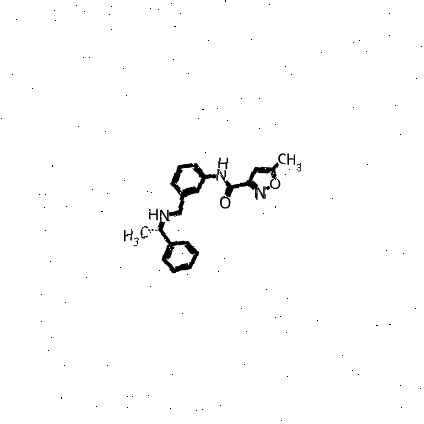 Cc1cc(C(=O)Nc2cccc(CN[C@@H](C)c3ccccc3)c2)no1